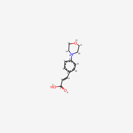 O=C(O)/C=C/c1ccc(N2CCOCC2)cc1